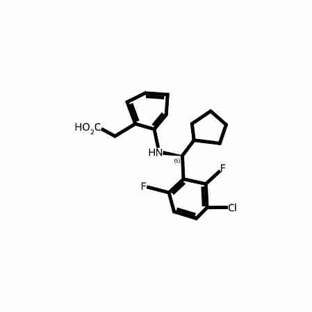 O=C(O)Cc1ccccc1N[C@H](c1c(F)ccc(Cl)c1F)C1CCCC1